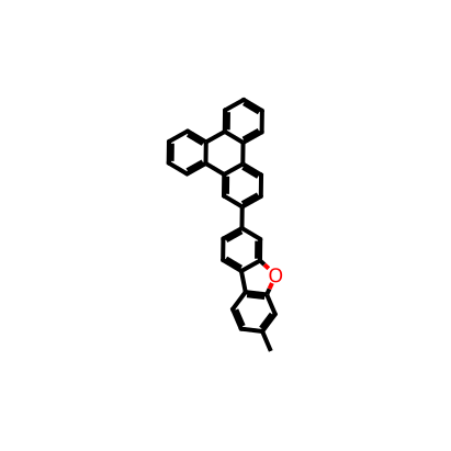 Cc1ccc2c(c1)oc1cc(-c3ccc4c5ccccc5c5ccccc5c4c3)ccc12